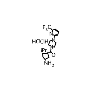 CC(C)[C@]1(C(=O)N2CCN(c3cccc(C(F)(F)F)n3)CC2)CC[C@@H](N)C1.Cl.Cl